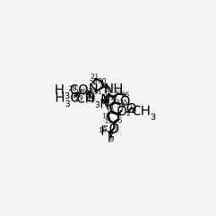 COCOc1cc(OC(F)F)ccc1-c1nnc(N[C@@H]2CCCN(C(=O)OC(C)(C)C)C2)c2c1COCC2